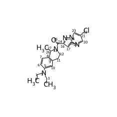 CCN(CC)c1ccc2c(c1)CCN(C(=O)c1cc3ncc(Cl)cn3n1)C2C